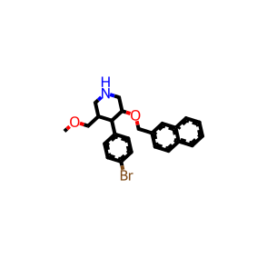 COCC1CNCC(OCc2ccc3ccccc3c2)C1c1ccc(Br)cc1